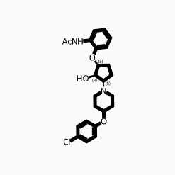 CC(=O)Nc1ccccc1O[C@H]1CC[C@H](N2CCC(Oc3ccc(Cl)cc3)CC2)[C@H]1O